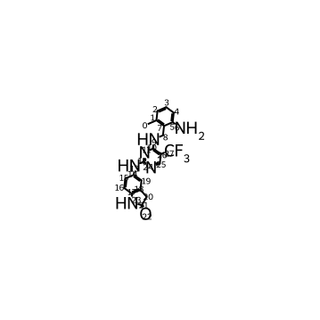 Cc1cccc(N)c1CNc1nc(Nc2ccc3c(c2)CC(=O)N3)ncc1C(F)(F)F